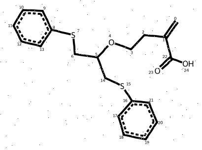 C=C(CCOC(CSc1ccccc1)CSc1ccccc1)C(=O)O